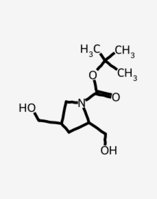 CC(C)(C)OC(=O)N1CC(CO)CC1CO